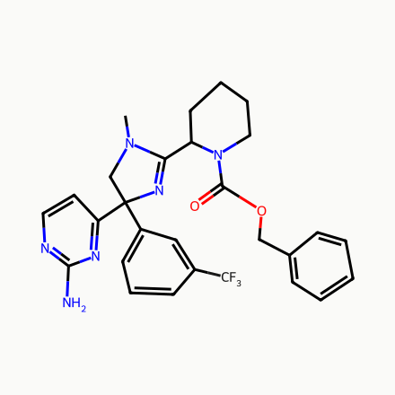 CN1CC(c2cccc(C(F)(F)F)c2)(c2ccnc(N)n2)N=C1C1CCCCN1C(=O)OCc1ccccc1